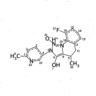 Cc1ccc(N2C(O)=C3C(C)Cc4cccc(F)c4N3[NH+]2[O-])cn1